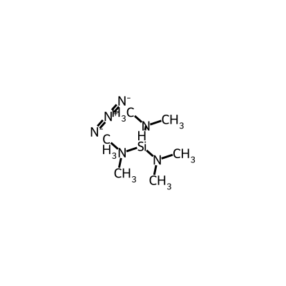 CN(C)[SiH](N(C)C)N(C)C.[N-]=[N+]=[N-]